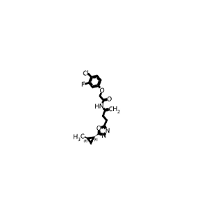 C=C(CCc1nnc([C@@H]2C[C@H]2C)o1)NC(=O)COc1ccc(Cl)c(F)c1